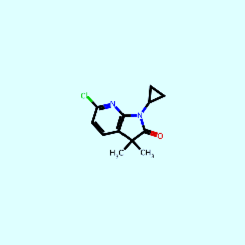 CC1(C)C(=O)N(C2CC2)c2nc(Cl)ccc21